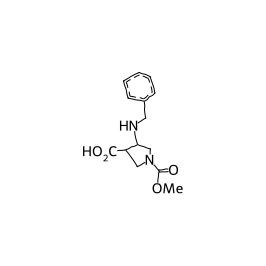 COC(=O)N1CC(NCc2ccccc2)C(C(=O)O)C1